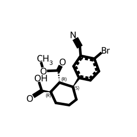 COC(=O)[C@@H]1[C@@H](c2ccc(Br)c(C#N)c2)CCC[C@H]1C(=O)O